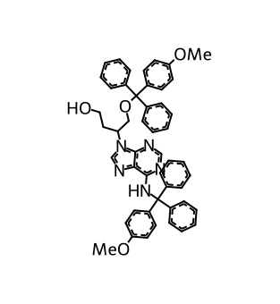 COc1ccc(C(Nc2ncnc3c2ncn3C(CCO)COC(c2ccccc2)(c2ccccc2)c2ccc(OC)cc2)(c2ccccc2)c2ccccc2)cc1